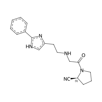 N#C[C@@H]1CCCN1C(=O)CNCCc1c[nH]c(-c2ccccc2)n1